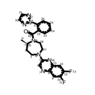 C[C@@H]1CCN(c2cnc3cc(F)c(F)cc3n2)CCN1C(=O)c1ccccc1-n1nccn1